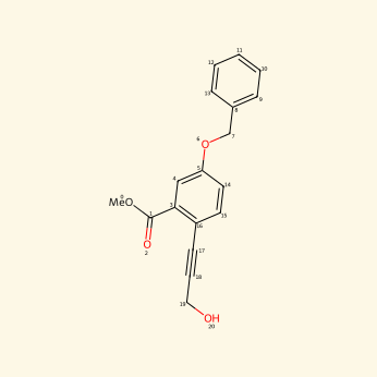 COC(=O)c1cc(OCc2ccccc2)ccc1C#CCO